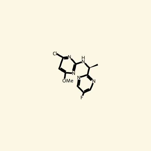 COc1cc(Cl)nc(N[C@@H](C)c2ncc(F)cn2)n1